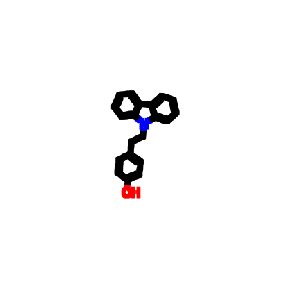 Oc1ccc(CCn2c3ccccc3c3ccccc32)cc1